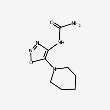 NC(=O)Nc1nnoc1N1CCCCC1